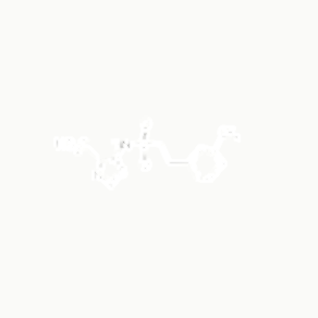 O=C(O)c1ncsc1NS(=O)(=O)CCc1cccc(C(F)(F)F)c1